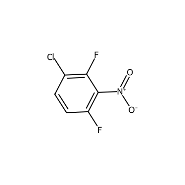 O=[N+]([O-])c1c(F)ccc(Cl)c1F